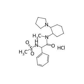 CN(C(=O)C(NS(C)(=O)=O)c1ccccc1)C1CCCCC1N1CCCC1.Cl